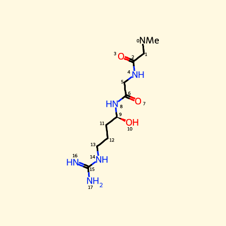 CNCC(=O)NCC(=O)N[C@@H](O)CCCNC(=N)N